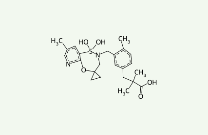 Cc1cnc2c(c1)S(O)(O)N(Cc1cc(CC(C)(C)C(=O)O)ccc1C)CC1(CC1)O2